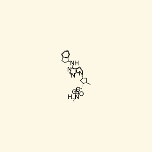 CC1C[C@H](n2ccc3c(NC4CCc5ccccc54)ncnc32)C[C@H]1COS(N)(=O)=O